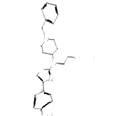 N#Cc1ccc(-c2csc(N(CCC(=O)O)C3CCN(Cc4ccccc4)CC3)n2)cc1